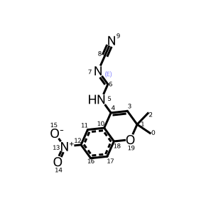 CC1(C)C=C(N/C=N/C#N)c2cc([N+](=O)[O-])ccc2O1